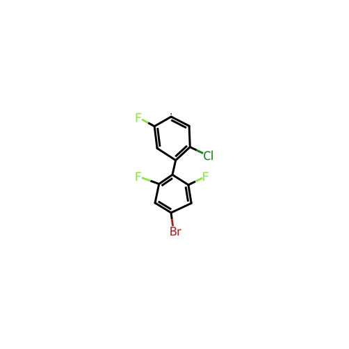 Fc1[c]cc(Cl)c(-c2c(F)cc(Br)cc2F)c1